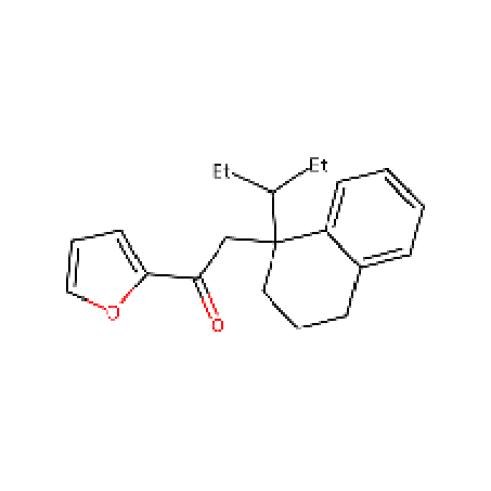 CCC(CC)C1(CC(=O)c2ccco2)CCCc2ccccc21